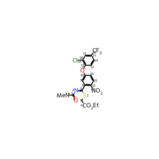 CCOC(=O)CSC(=NC(=O)NC)c1cc(Oc2ccc(C(F)(F)F)cc2Cl)ccc1[N+](=O)[O-]